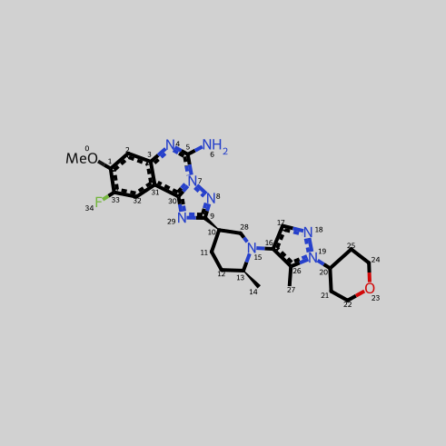 COc1cc2nc(N)n3nc([C@@H]4CC[C@H](C)N(c5cnn(C6CCOCC6)c5C)C4)nc3c2cc1F